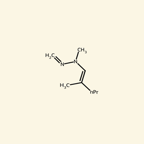 C=NN(C)/C=C(\C)CCC